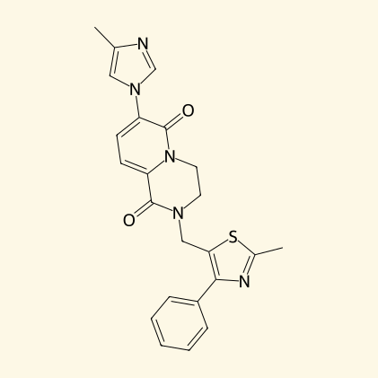 Cc1cn(-c2ccc3n(c2=O)CCN(Cc2sc(C)nc2-c2ccccc2)C3=O)cn1